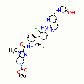 Cc1c(NC(=O)c2nc3c(n2C)CCN(C(=O)OC(C)(C)C)C3)cccc1-c1cccc(Nc2nccc3cc(CN4CC[C@@H](O)C4)cnc23)c1Cl